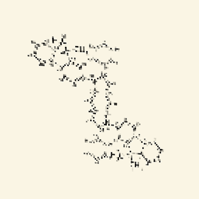 CC1(C)c2ccccc2-c2ccc(-n3c(-c4ccccc4)cc4cc5c(cc(-c6ccccc6)n5-c5ccc6c(c5)C(C)(C)c5ccccc5-6)cc43)cc21